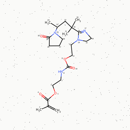 C=C(C)C(=O)OCCNC(=O)OCCN1CCN=C1C(C)(C)CC(C)N1CCCC1=O